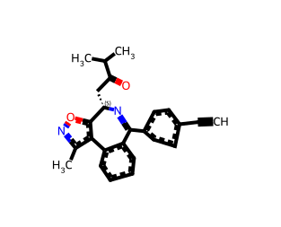 C#Cc1ccc(C2=N[C@@H](CC(=O)C(C)C)c3onc(C)c3-c3ccccc32)cc1